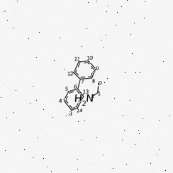 CCN.c1ccc(-c2ccccc2)cc1